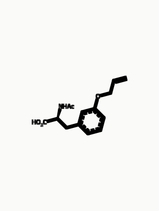 C=CCOc1cccc(C[C@H](NC(C)=O)C(=O)O)c1